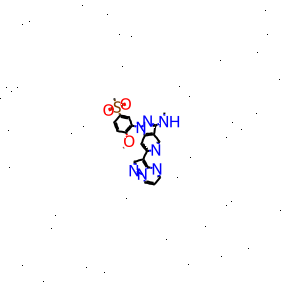 CNc1nn(-c2cc(S(C)(=O)=O)ccc2OC)c2cc(-c3cnn4cccnc34)ncc12